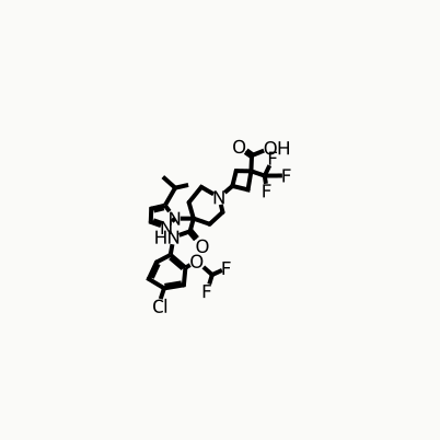 CC(C)c1ccnn1C1(C(=O)Nc2ccc(Cl)cc2OC(F)F)CCN(C2CC(C(=O)O)(C(F)(F)F)C2)CC1